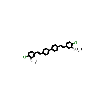 O=S(=O)(O)c1cc(/C=C/c2ccc(-c3ccc(/C=C/c4ccc(Cl)c(S(=O)(=O)O)c4)cc3)cc2)ccc1Cl